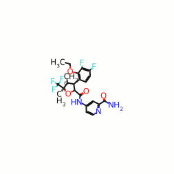 CCOc1c(C2C(C(=O)Nc3ccnc(C(N)=O)c3)O[C@@](C)(C(F)(F)F)[C@H]2C)ccc(F)c1F